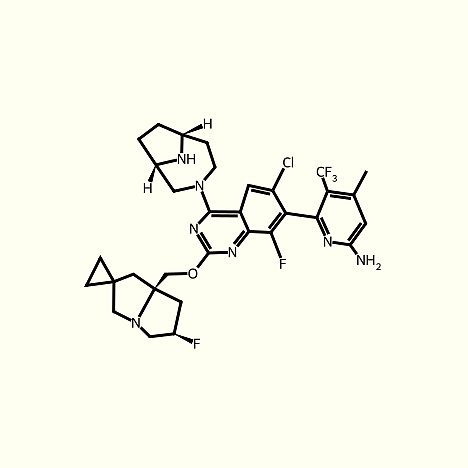 Cc1cc(N)nc(-c2c(Cl)cc3c(N4CC[C@H]5CC[C@@H](C4)N5)nc(OC[C@@]45C[C@@H](F)CN4CC4(CC4)C5)nc3c2F)c1C(F)(F)F